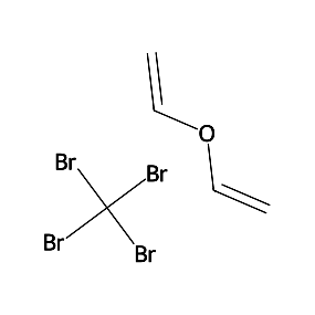 BrC(Br)(Br)Br.C=COC=C